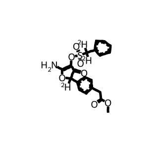 [2H]C1(c2ccc(CC(=O)OC)cc2)OC(N)=C(OS(=O)(=O)C([2H])([2H])c2ccccc2)C1=O